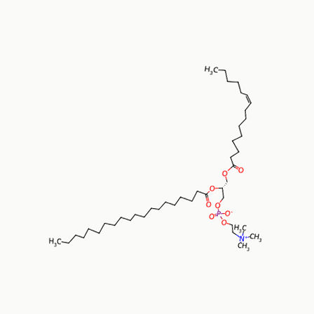 CCCCC/C=C\CCCCCCCC(=O)OC[C@H](COP(=O)([O-])OCC[N+](C)(C)C)OC(=O)CCCCCCCCCCCCCCCCCCC